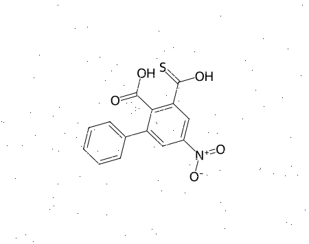 O=C(O)c1c(C(O)=S)cc([N+](=O)[O-])cc1-c1ccccc1